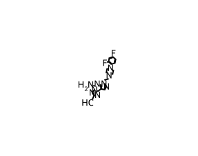 C#Cc1nc2c3cnn(CCN4CCN(c5ccc(F)cc5F)CC4)c3nc(N)n2n1